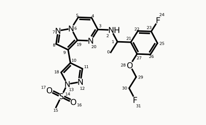 CC(Nc1ccn2ncc(-c3cnn(S(C)(=O)=O)c3)c2n1)c1cc(F)ccc1OCCF